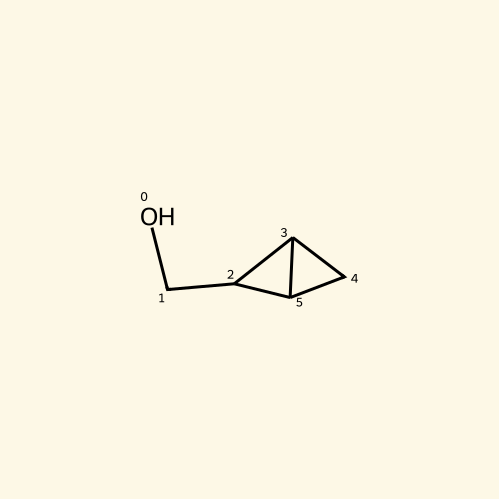 OCC1C2CC12